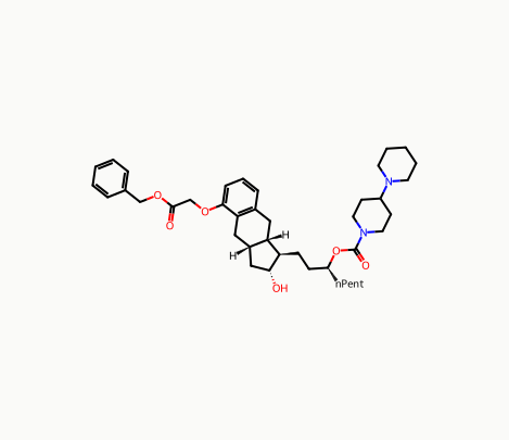 CCCCC[C@@H](CC[C@@H]1[C@H]2Cc3cccc(OCC(=O)OCc4ccccc4)c3C[C@H]2C[C@H]1O)OC(=O)N1CCC(N2CCCCC2)CC1